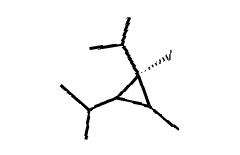 CC(C)C1C(C)[C@]1(I)C(C)C